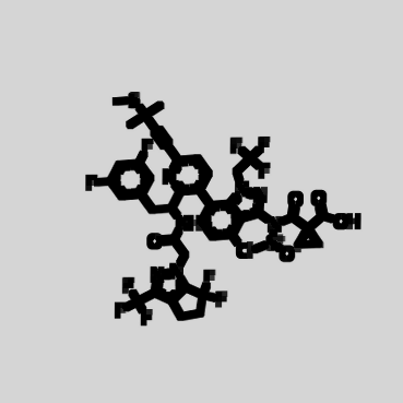 CSC(C)(C)C#Cc1ccc(-c2ccc(Cl)c3c(N(C(=O)C4(C(=O)O)CC4)[S+](C)[O-])nn(CC(F)(F)F)c23)c(C(Cc2cc(F)cc(F)c2)NC(=O)Cn2nc(C(F)(F)F)c3c2C(F)(F)CC3)n1